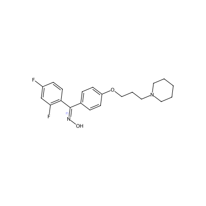 O/N=C(\c1ccc(OCCCN2CCCCC2)cc1)c1ccc(F)cc1F